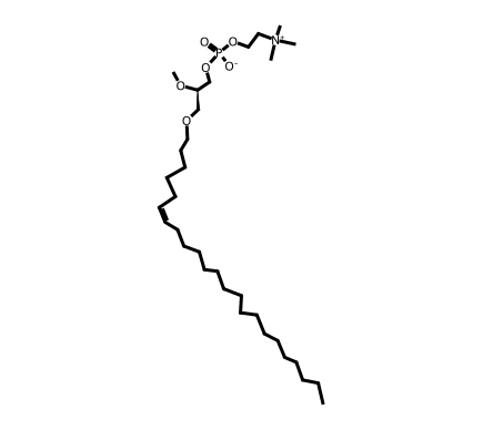 CCCCCCCCCCCCCCCC/C=C\CCCCCOC[C@H](COP(=O)([O-])OCC[N+](C)(C)C)OC